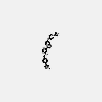 Cn1cc(-c2ccc(CNc3cc(-c4cnc5cc(OC6CCN(C7COC7)CC6)ccn45)ncn3)cc2)cn1